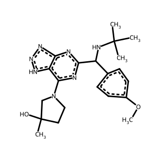 COc1ccc(C(NC(C)(C)C)c2nc(N3CCC(C)(O)C3)c3[nH]nnc3n2)cc1